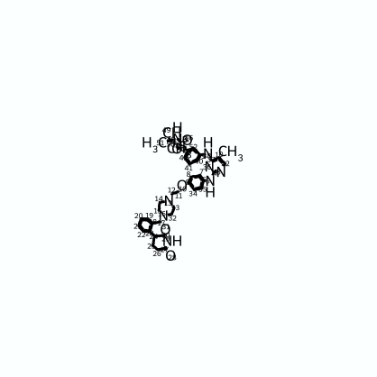 Cc1cnc(Nc2ccc(OCCN3CCN(Cc4ccccc4C4CCC(=O)NC4=O)CC3)cc2)nc1Nc1cccc(S(=O)(=O)NC(C)(C)C)c1